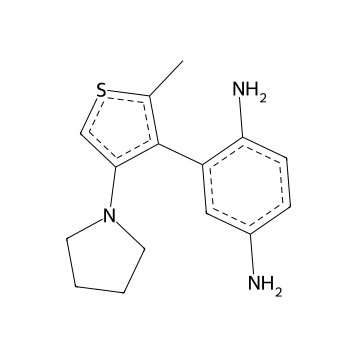 Cc1scc(N2CCCC2)c1-c1cc(N)ccc1N